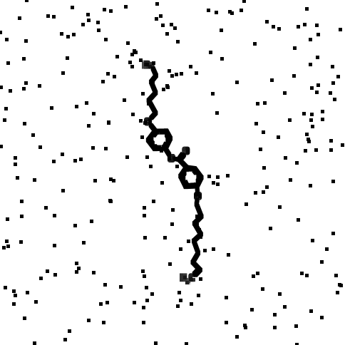 C=CCCCCCCCOc1ccc(C(=O)Oc2ccc(OCCCCCC(C)CC)cc2)cc1